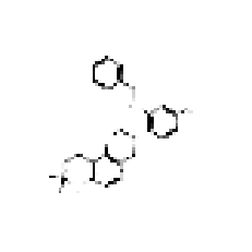 CCc1ccc([C@@H]2COc3c(ccc4c3CCC(C)(C)O4)C2)c(OCc2ccccc2)c1